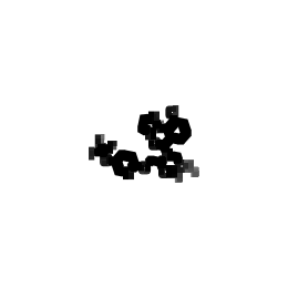 CCN(C(=O)c1cccc(Cl)c1-n1nccn1)C(C)COc1ccc(OC(F)(F)F)cn1